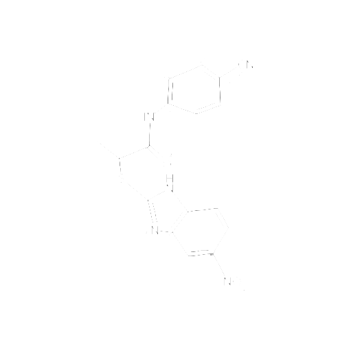 CC(Sc1nc2cc([N+](=O)[O-])ccc2[nH]1)C(=O)Nc1ccc(C#N)cc1